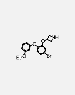 CCOc1cccc(Oc2ccc(Br)cc2OC2CNC2)c1